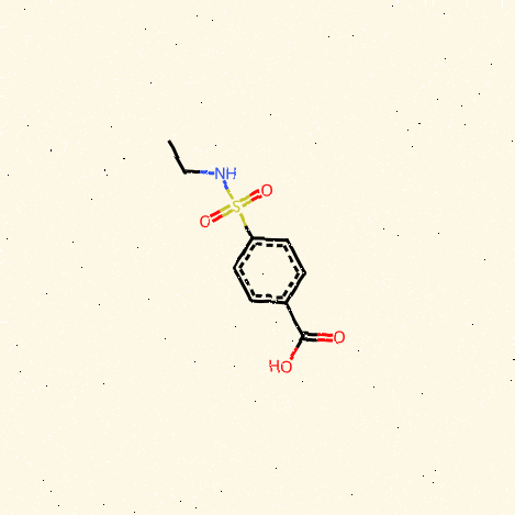 CCNS(=O)(=O)c1ccc(C(=O)O)cc1